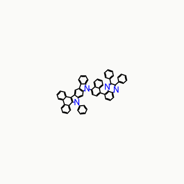 c1ccc(-c2nc3cccc(-c4ccc(-n5c6ccccc6c6cc7c8c9ccccc9c9ccccc9c8n(-c8ccccc8)c7cc65)c5ccccc45)c3nc2-c2ccccc2)cc1